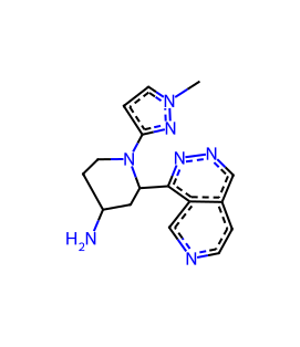 Cn1ccc(N2CCC(N)CC2c2nncc3ccncc23)n1